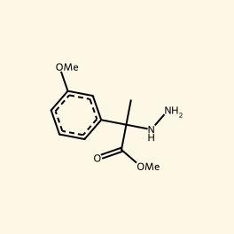 COC(=O)C(C)(NN)c1cccc(OC)c1